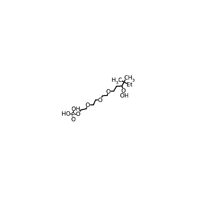 CCC(C)(C)C(CCOCCOCCOCCOP(=O)(O)O)OO